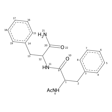 CC(=O)NC(Cc1ccccc1)C(=O)NC(Cc1ccccc1)C(N)=O